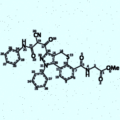 COC(=O)CNC(=O)c1cccc2c1SCc1c(C(=O)C(C#N)C(=O)Nc3ccccc3)nn(-c3ccccc3)c1-2